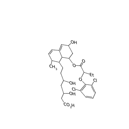 CCC(Oc1c(Cl)cccc1Cl)C(=O)OC1CC(O)C=C2C=CC(C)C(CCC(O)CC(O)CC(=O)O)C21